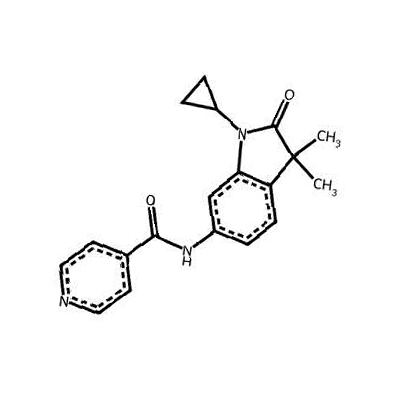 CC1(C)C(=O)N(C2CC2)c2cc(NC(=O)c3ccncc3)ccc21